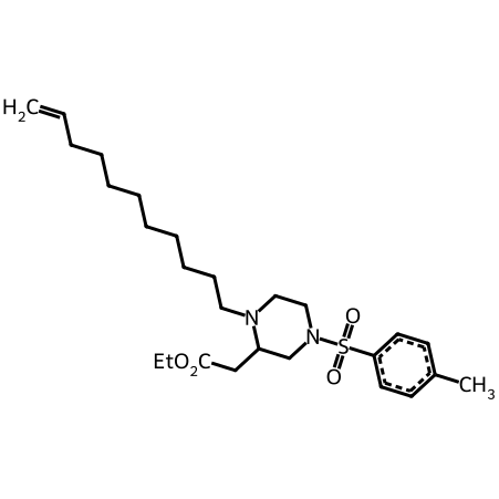 C=CCCCCCCCCCN1CCN(S(=O)(=O)c2ccc(C)cc2)CC1CC(=O)OCC